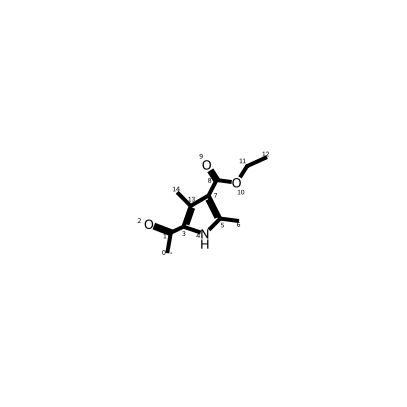 [CH2]C(=O)c1[nH]c(C)c(C(=O)OCC)c1C